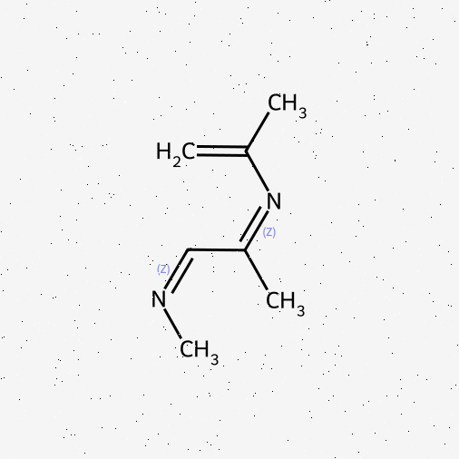 C=C(C)/N=C(C)\C=N/C